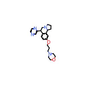 c1cnc(C2CN3CCCC3c3cc(OCCCN4CCOCC4)ccc32)cn1